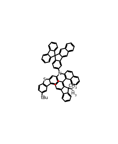 CC(C)(C)c1ccc2sc3cc(N(c4ccc5c(c4)-c4cc6ccccc6cc4C54c5ccccc5-c5ccccc54)c4ccc5ccccc5c4-c4cccc5c4C(C)(C)c4ccccc4-5)ccc3c2c1